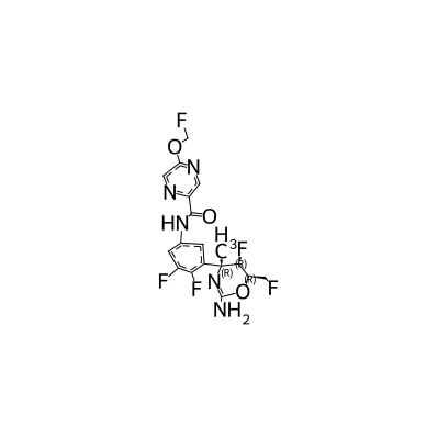 C[C@]1(c2cc(NC(=O)c3cnc(OCF)cn3)cc(F)c2F)N=C(N)O[C@H](CF)[C@@H]1F